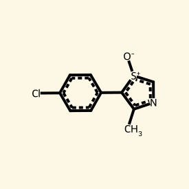 Cc1nc[s+]([O-])c1-c1ccc(Cl)cc1